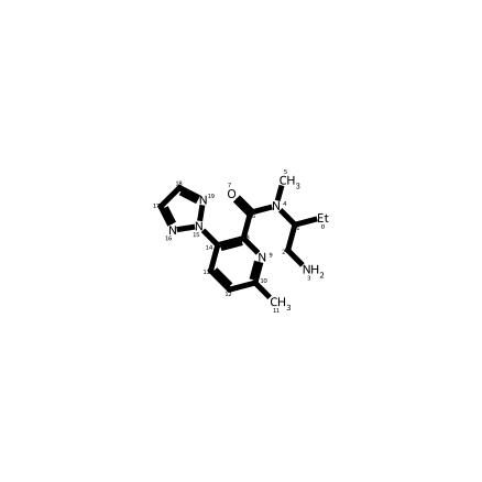 CCC(CN)N(C)C(=O)c1nc(C)ccc1-n1nccn1